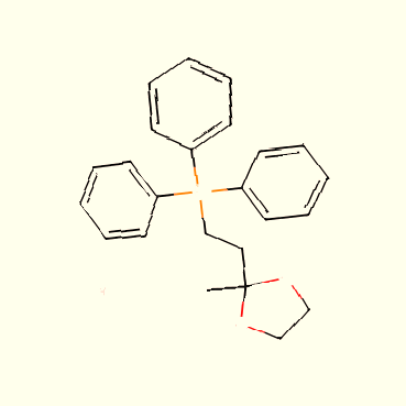 CC1(CC[P+](c2ccccc2)(c2ccccc2)c2ccccc2)OCCO1.[Br-]